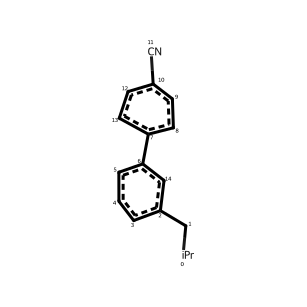 CC(C)Cc1cccc(-c2ccc(C#N)cc2)c1